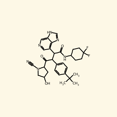 CC(C)(C)c1ccc(C(C(=O)C2CC(O)CN2C#N)C(C(=O)NC2CCC(F)(F)CC2)c2cncc3[nH]cnc23)cc1